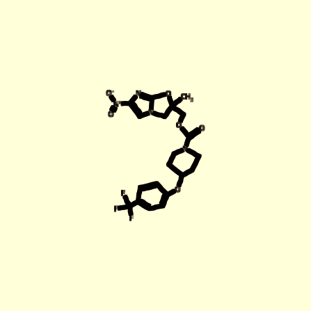 CC1(COC(=O)N2CCC(Oc3ccc(C(F)(F)F)cc3)CC2)Cn2cc([N+](=O)[O-])nc2O1